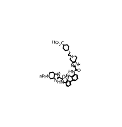 CCCN1CCc2c(nc(C(=O)Nc3cccc(-c4cccc(NC(=O)c5nc6c(n5C)CCN(CC[C@H]5CC[C@H](C(=O)O)CC5)C6)c4Cl)c3Cl)n2C)C1